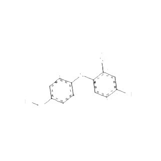 CCOc1ccc(Nc2ccc(Cl)cc2N)cc1